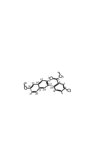 COC(=O)c1cc(Cl)ccc1-c1ccc2cc(OC)ccc2c1